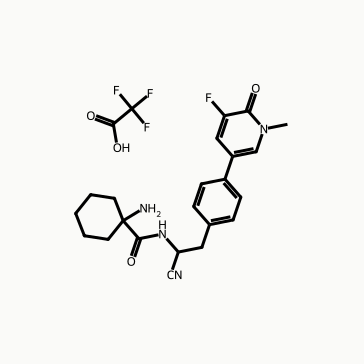 Cn1cc(-c2ccc(CC(C#N)NC(=O)C3(N)CCCCC3)cc2)cc(F)c1=O.O=C(O)C(F)(F)F